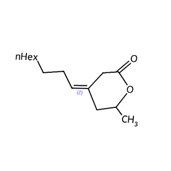 CCCCCCCC/C=C1\CC(=O)OC(C)C1